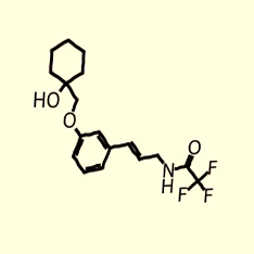 O=C(NC/C=C/c1cccc(OCC2(O)CCCCC2)c1)C(F)(F)F